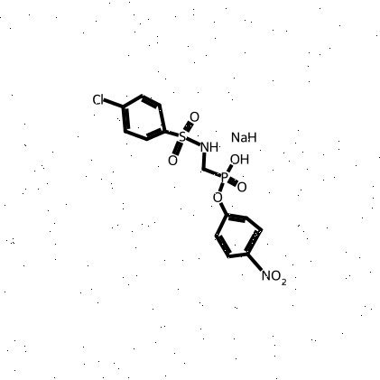 O=[N+]([O-])c1ccc(OP(=O)(O)CNS(=O)(=O)c2ccc(Cl)cc2)cc1.[NaH]